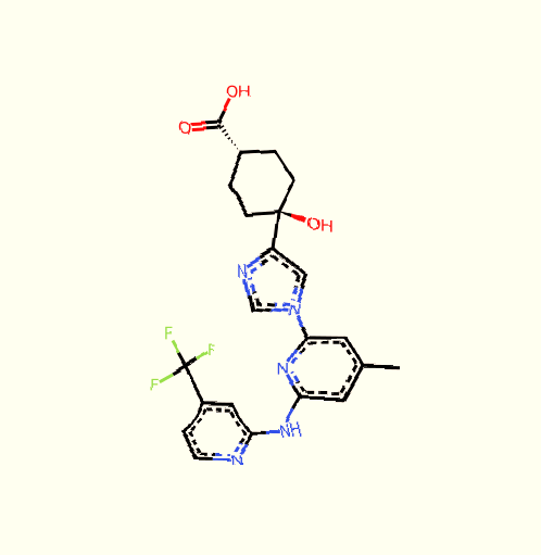 Cc1cc(Nc2cc(C(F)(F)F)ccn2)nc(-n2cnc([C@]3(O)CC[C@H](C(=O)O)CC3)c2)c1